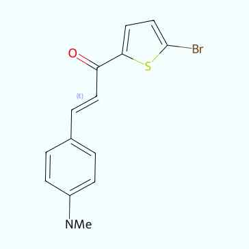 CNc1ccc(/C=C/C(=O)c2ccc(Br)s2)cc1